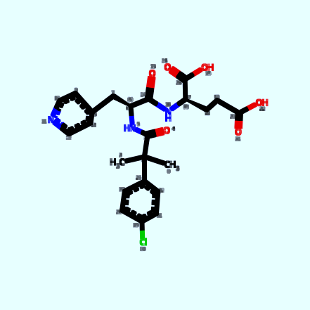 CC(C)(C(=O)N[C@@H](Cc1ccncc1)C(=O)N[C@H](CCC(=O)O)C(=O)O)c1ccc(Cl)cc1